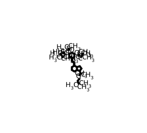 C[C@@H](OCCC(C)(C)C)C1CCC2/C(=C/C=C3C[C@@H](O[Si](C)(C)C(C)(C)C)C(O[Si](C)(C)C)[C@H](O[Si](C)(C)C(C)(C)C)C3)CCCC21C